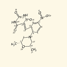 C[C@@H]1CN(c2ccc([N+](=O)[O-])cc2C=C2C(=O)NC(=O)NC2=O)C[C@H](C)O1